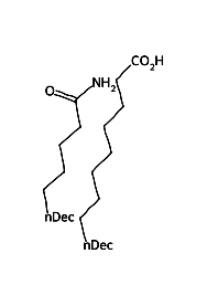 CCCCCCCCCCCCCCC(N)=O.CCCCCCCCCCCCCCCCCC(=O)O